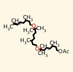 CC(=O)OCCC(C)CCCC(C)(C)OCCC(C)CCCC(C)(C)OCCC(C)CCC=C(C)C